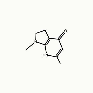 Cc1cc(=O)c2c([nH]1)N(C)CC2